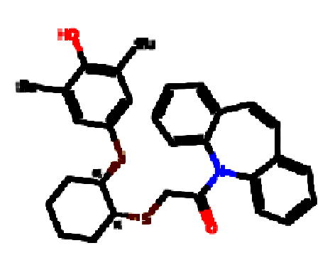 CC(C)(C)c1cc(S[C@@H]2CCCC[C@H]2SCC(=O)N2c3ccccc3C=Cc3ccccc32)cc(C(C)(C)C)c1O